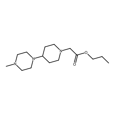 CCCOC(=O)CN1CCC(N2CCN(C)CC2)CC1